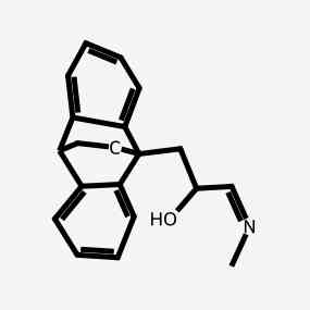 C/N=C\C(O)CC12CCC(c3ccccc31)c1ccccc12